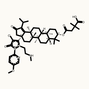 CNCCn1c([C@@]23CC[C@]4(C)[C@H](CC[C@@H]5[C@@]6(C)CC[C@H](OC(=O)CC(C)(C)C(=O)O)C(C)(C)[C@@H]6CC[C@]54C)C2=C(C(C)C)C(=O)C3)c(Cl)c(=O)n1-c1ccc(OC)cn1